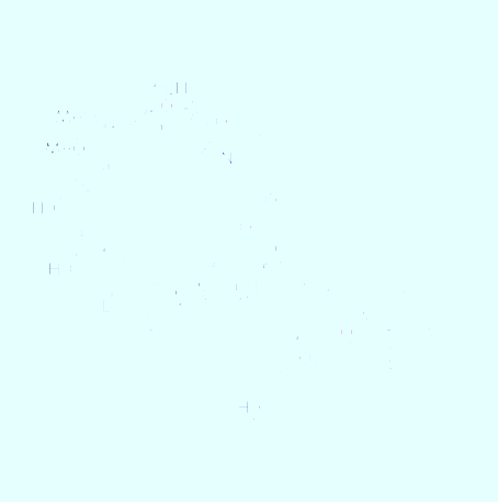 C=CCOC1CC(C=C(C)C2OC(=O)C3CCCCN3C(=O)C(=O)C3(O)OC(C(OC)CC(C)C/C(C)=C/C(CC)C(=O)CCC2C)C(OC)CC3C)CCC1OCC(=O)c1ccccc1